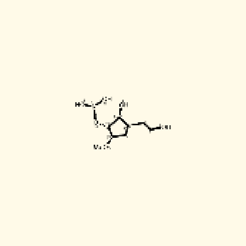 CO[C@@H]1C[C@H](CCO)[C@H](O)[C@H]1ON(O)O